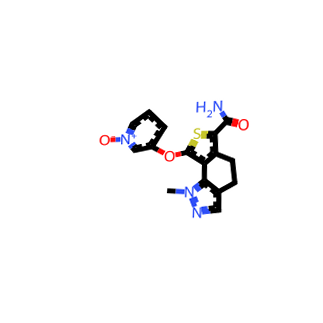 Cn1ncc2c1-c1c(Oc3ccc[n+]([O-])c3)sc(C(N)=O)c1CC2